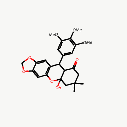 COc1cc(C2c3cc4c(cc3OC3(O)CC(C)(C)CC(=O)C23)OCO4)cc(OC)c1OC